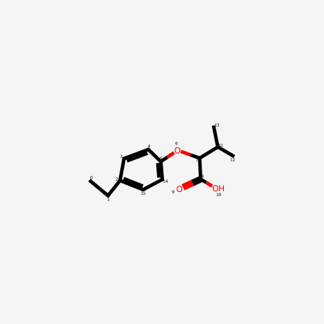 CCc1ccc(OC(C(=O)O)C(C)C)cc1